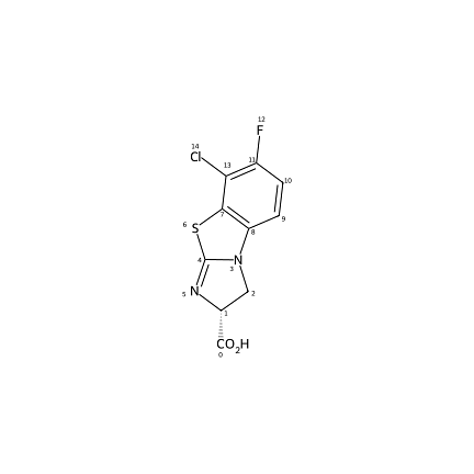 O=C(O)[C@H]1CN2C(=N1)Sc1c2ccc(F)c1Cl